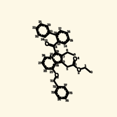 CCOC(=O)Cc1c(CC)c(C(=O)c2ccccc2-c2ccccc2)n2cccc(OCc3ccccc3)c12